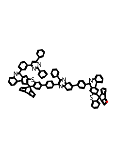 c1ccc(-c2cc(-c3cccc(-c4nc5ccccc5c5cc6c(cc45)Sc4cc(-c5ccc(-c7nc8ccc(-c9ccc(-c%10nc%11ccccc%11c%11cc%12c(cc%10%11)Sc%10ccccc%10C%12%10c%11ccccc%11-c%11ccccc%11%10)cc9)cc8nc7-c7ccccc7)cc5)ccc4C64c5ccccc5-c5ccccc54)c3)nc(-c3ccccc3)n2)cc1